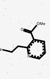 COC(=O)c1cccnc1CCBr